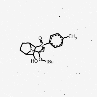 Cc1ccc(S(=O)(=O)C2C(O)C3CCC2N3C(=O)OC(C)(C)C)cc1